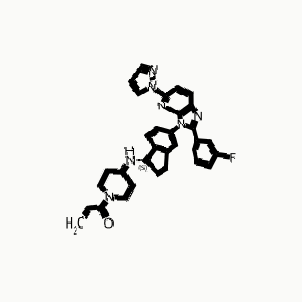 C=CC(=O)N1CCC(N[C@H]2CCc3cc(-n4c(-c5cccc(F)c5)nc5ccc(-n6cccn6)nc54)ccc32)CC1